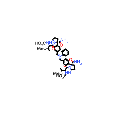 CO[C@H](C)[C@H](NC(=O)O)C(=O)N1CCC[C@@]1(C(N)=O)c1ccc(CN(Cc2ccc([C@]3(C(N)=O)CCCN3C(=O)[C@@H](NC(=O)O)[C@@H](C)OC)cc2)c2ccccc2)cc1